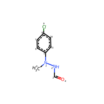 CN(NC=O)c1ccc(Cl)cc1